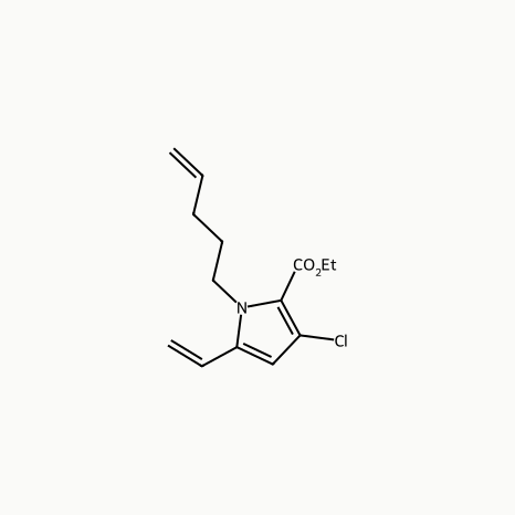 C=CCCCn1c(C=C)cc(Cl)c1C(=O)OCC